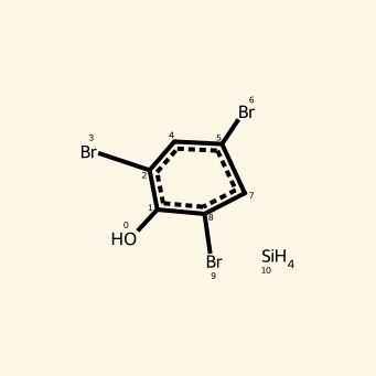 Oc1c(Br)cc(Br)cc1Br.[SiH4]